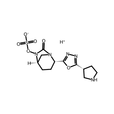 O=C1N2C[C@@H](CC[C@H]2c2nnc([C@@H]3CCNC3)o2)N1OS(=O)(=O)[O-].[H+]